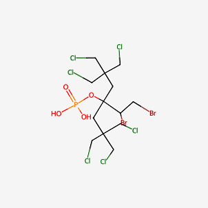 O=P(O)(O)OC(CC(CCl)(CCl)CCl)(CC(CCl)(CCl)CCl)C(Br)CBr